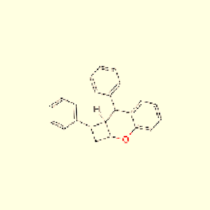 c1ccc(C2CC3Oc4ccccc4C(c4ccccc4)[C@@H]32)cc1